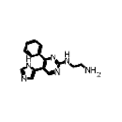 NCCNc1ncc(-c2cnc[nH]2)c(-c2ccccc2)n1